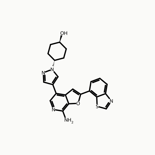 Nc1ncc(-c2cnn([C@H]3CC[C@H](O)CC3)c2)c2cc(-c3cccc4ncsc34)oc12